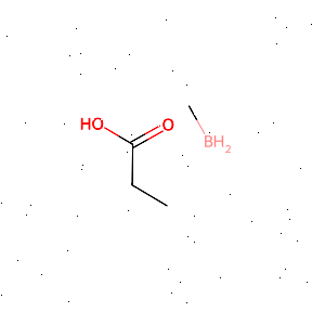 BC.CCC(=O)O